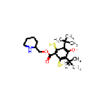 CC(C)(C)c1c(O)c(C(C)(C)C)c(S)c(C(=O)OCC2CCCCN2)c1S